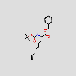 C=CCCCCC[C@H](NC(=O)OC(C)(C)C)C(=O)OCc1ccccc1